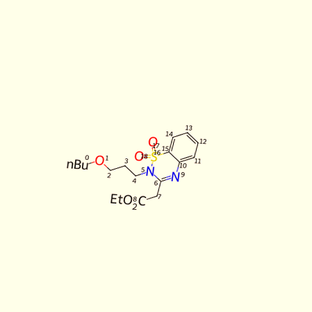 CCCCOCCCN1C(CC(=O)OCC)=Nc2ccccc2S1(=O)=O